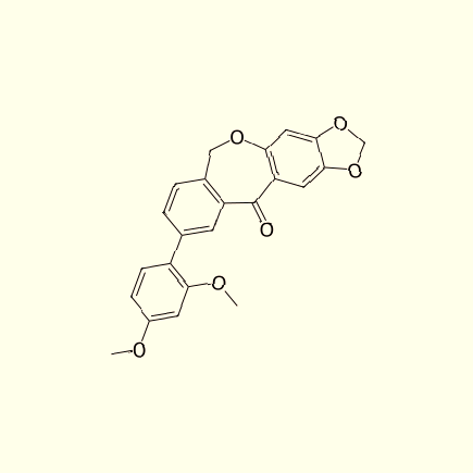 COc1ccc(-c2ccc3c(c2)C(=O)c2cc4c(cc2OC3)OCO4)c(OC)c1